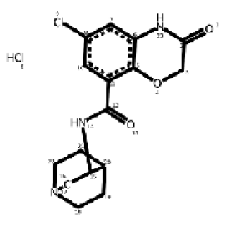 Cl.O=C1COc2c(cc(Cl)cc2C(=O)NC2CN3CCC2CC3)N1